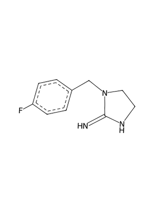 N=C1NCCN1Cc1ccc(F)cc1